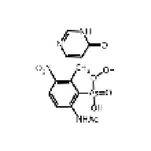 CC(=O)Nc1ccc([N+](=O)[O-])c(C)c1[As](=O)(O)OO.O=c1ccnc[nH]1